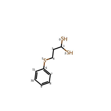 SC(S)CCSc1ccccc1